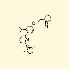 CC(C)c1cc(OCCC2CCCN2)ccc1-c1cccc(N2C(C)CCC2C)n1